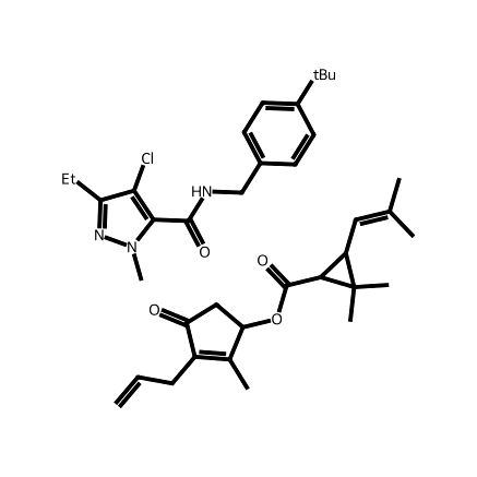 C=CCC1=C(C)C(OC(=O)C2C(C=C(C)C)C2(C)C)CC1=O.CCc1nn(C)c(C(=O)NCc2ccc(C(C)(C)C)cc2)c1Cl